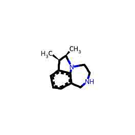 C[C@@H]1c2cccc3c2N(CCNC3)[C@@H]1C